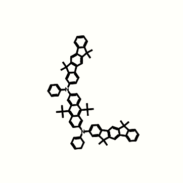 CC(C)(C)c1c2ccc(N(c3ccccc3)c3ccc4c(c3)C(C)(C)c3cc5c(cc3-4)C(C)(C)c3ccccc3-5)cc2c(C(C)(C)C)c2ccc(N(C3=CC=CCC3)c3ccc4c(c3)C(C)(C)c3cc5c(cc3-4)C(C)(C)c3ccccc3-5)cc12